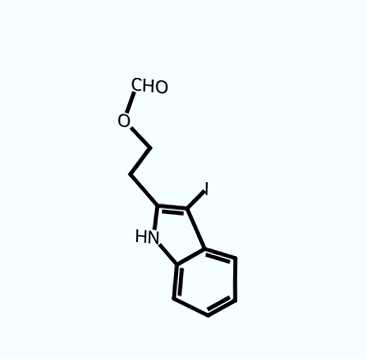 O=COCCc1[nH]c2ccccc2c1I